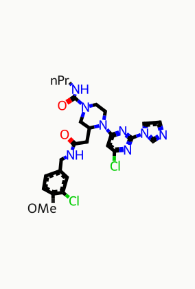 CCCNC(=O)N1CCN(c2cc(Cl)nc(-n3ccnc3)n2)C(CC(=O)NCc2ccc(OC)c(Cl)c2)C1